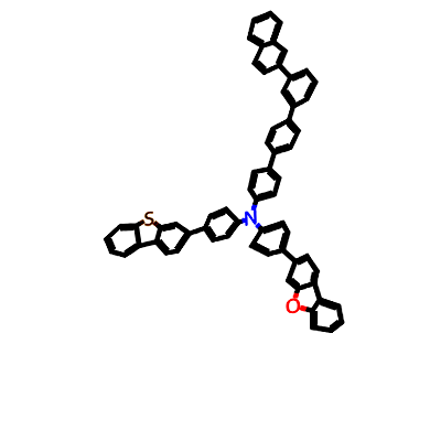 c1cc(-c2ccc(-c3ccc(N(c4ccc(-c5ccc6c(c5)oc5ccccc56)cc4)c4ccc(-c5ccc6c(c5)sc5ccccc56)cc4)cc3)cc2)cc(-c2ccc3ccccc3c2)c1